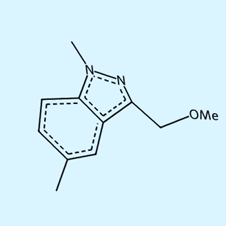 COCc1nn(C)c2ccc(C)cc12